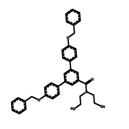 O=C(c1cc(-c2ccc(OCc3ccccc3)cc2)cc(-c2ccc(OCc3ccccc3)cc2)c1)N(CCO)CCO